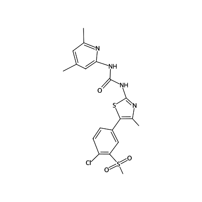 Cc1cc(C)nc(NC(=O)Nc2nc(C)c(-c3ccc(Cl)c(S(C)(=O)=O)c3)s2)c1